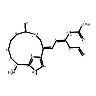 C=CC/C(=C\C=C1/CNC(C)CCCC[C@H](N)c2nc1c[nH]2)NC(=O)OC